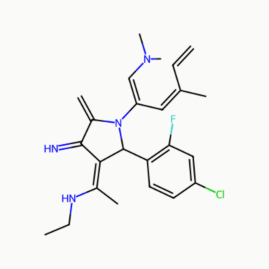 C=C/C(C)=C\C(=C/N(C)C)N1C(=C)C(=N)/C(=C(/C)NCC)C1c1ccc(Cl)cc1F